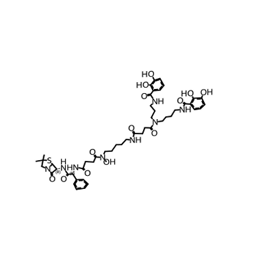 CC1(C)CN2C(=O)[C@@H](NC(=O)[C@H](NC(=O)CCC(=O)N(O)CCCCCNC(=O)CCC(=O)N(CCCCNC(=O)c3cccc(O)c3O)CCCNC(=O)c3cccc(O)c3O)c3ccccc3)C2S1